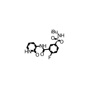 CCC(C)NS(=O)(=O)c1ccc(F)c(C(=O)Nc2ccc[nH]c2=O)c1